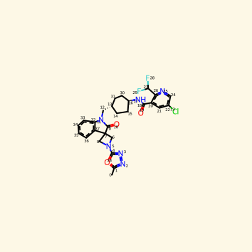 Cc1nnc(N2CC3(C2)C(=O)N(C[C@H]2CC[C@H](NC(=O)c4cc(Cl)cnc4C(F)F)CC2)c2ccccc23)o1